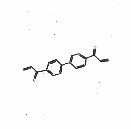 C=CC(=O)c1ccc(-c2ccc(C(=O)C=C)cc2)cc1